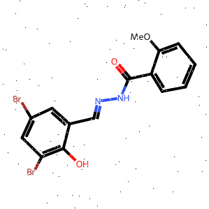 COc1ccccc1C(=O)N/N=C/c1cc(Br)cc(Br)c1O